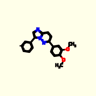 COc1ccc(-c2ccc3ncc(-c4c[c]ccc4)n3n2)cc1OC